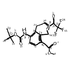 COC(=O)c1ccc(NC(=O)OC(C)(C)C)c2c1CN(C(=O)C(F)(F)F)CC2